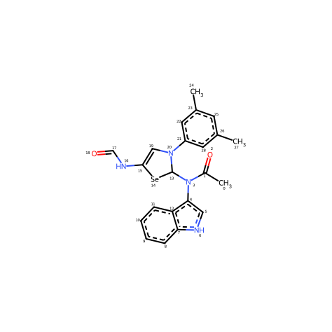 CC(=O)N(c1c[nH]c2ccccc12)C1[Se]C(NC=O)=CN1c1cc(C)cc(C)c1